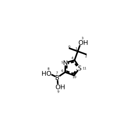 CC(C)(O)c1nc(B(O)O)cs1